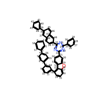 c1ccc(-c2ccc(-c3cccc(-c4cccc5oc6cc(-c7nc(-c8ccccc8)nc(-c8ccc9cc(-c%10ccccc%10)ccc9c8)n7)ccc6c45)c3)cc2)cc1